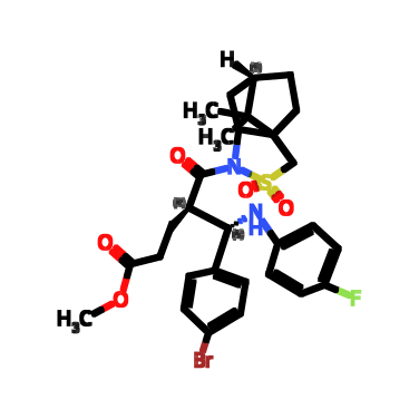 COC(=O)CC[C@@H](C(=O)N1C2C[C@@H]3CCC2(CS1(=O)=O)C3(C)C)[C@H](Nc1ccc(F)cc1)c1ccc(Br)cc1